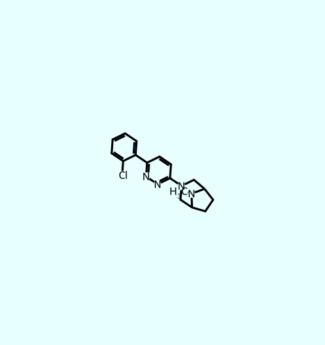 CN1C2CCC1CN(c1ccc(-c3ccccc3Cl)nn1)C2